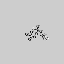 [O-][Si]([O-])([O-])[O-].[O-][Si]([O-])([O-])[O-].[Tb+3].[Y+3].[Zn+2]